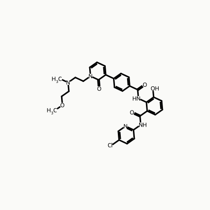 COCCN(C)CCn1cccc(-c2ccc(C(=O)Nc3c(O)cccc3C(=O)Nc3ccc(Cl)cn3)cc2)c1=O